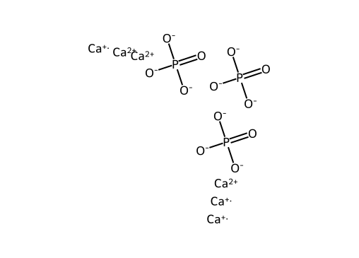 O=P([O-])([O-])[O-].O=P([O-])([O-])[O-].O=P([O-])([O-])[O-].[Ca+2].[Ca+2].[Ca+2].[Ca+].[Ca+].[Ca+]